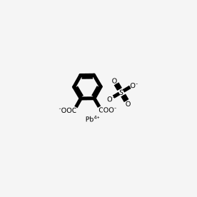 O=C([O-])c1ccccc1C(=O)[O-].O=S(=O)([O-])[O-].[Pb+4]